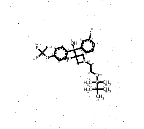 CC1([C@](O)(c2ccc(OC(F)(F)F)cc2)c2cccc(Cl)c2)CN(CCO[Si](C)(C)C(C)(C)C)C1